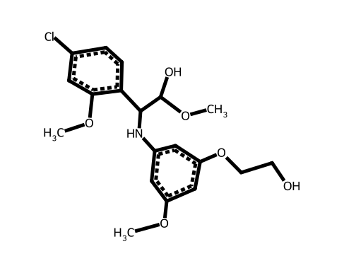 COc1cc(NC(c2ccc(Cl)cc2OC)C(O)OC)cc(OCCO)c1